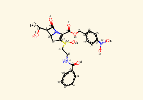 CC(O)C1C(=O)N2C(C(=O)OCc3ccc([N+](=O)[O-])cc3)=C([S+]([O-])CCNC(=O)c3ccccc3)CC12